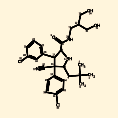 CC(C)(C)CC1NC(C(=O)NCC(CO)CO)C(c2cccc(Cl)c2)C1(C#N)c1ccc(Cl)cc1